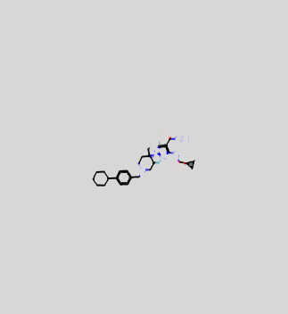 N#CCC1(n2cc(C(N)=O)c(NC(O)C3CC3)n2)CCN(Cc2ccc(C3CCCCC3)cc2)CC1F